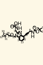 CC(C)(C)OC(=O)NCC#Cc1cccc2c1nc(CNC(=O)O)n2COCC[Si](C)(C)C